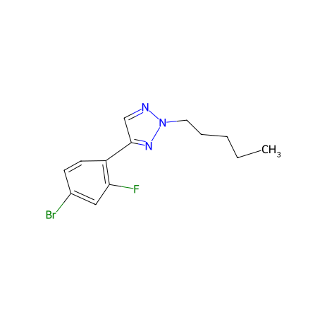 CCCCCn1ncc(-c2ccc(Br)cc2F)n1